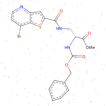 COC(=O)[C@@H](CNC(=O)c1cc2nccc(Br)c2s1)NC(=O)OCc1ccccc1